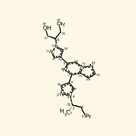 CC(C)C[C@H](C)n1cc(-c2nc(-c3cnn(C(CO)CO)c3)cn3nccc23)cn1